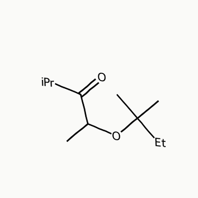 CCC(C)(C)OC(C)C(=O)C(C)C